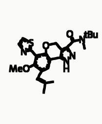 COc1c(C=C(C)C)cc2c(c1-c1nccs1)OCc1c(C(=O)N(C)C(C)(C)C)n[nH]c1-2